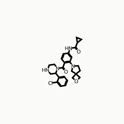 O=C(Nc1ccc(C(=O)N2CCNCC2c2ccccc2Cl)c(N2CCC3(COC3)C2)c1)C1CC1